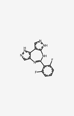 Fc1cccc(F)c1C1=Nc2cn[nH]c2-c2cn[nH]c2N1